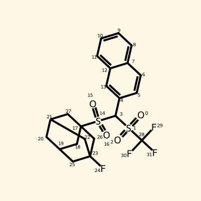 O=S(=O)(C(c1ccc2ccccc2c1)S(=O)(=O)C12CC3CC(CC(F)(C3)C1)C2)C(F)(F)F